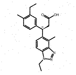 CCc1cc([C@@H](CC(=O)O)c2ccc3c(nnn3CC)c2C)ccc1C